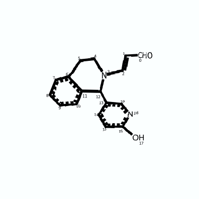 O=CC=CN1CCc2ccccc2C1c1ccc(O)nc1